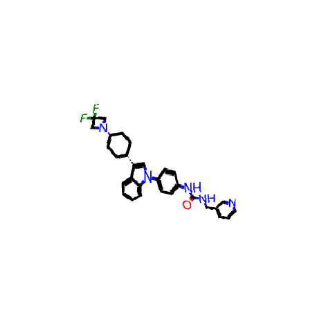 O=C(NCc1cccnc1)Nc1ccc(-n2cc([C@H]3CC[C@@H](N4CC(F)(F)C4)CC3)c3ccccc32)cc1